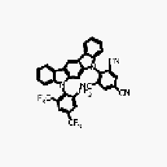 N#Cc1cc(C#N)c(-n2c3ccccc3c3cc4c5ccccc5n(-c5c(C(F)(F)F)cc(C(F)(F)F)cc5C(F)(F)F)c4cc32)c(C#N)c1